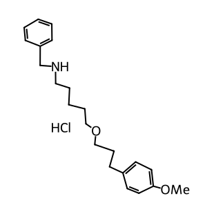 COc1ccc(CCCOCCCCCNCc2ccccc2)cc1.Cl